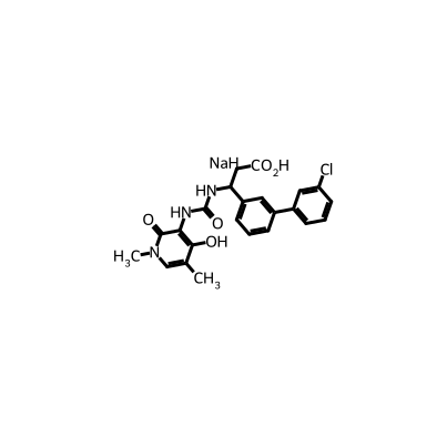 Cc1cn(C)c(=O)c(NC(=O)NC(CC(=O)O)c2cccc(-c3cccc(Cl)c3)c2)c1O.[NaH]